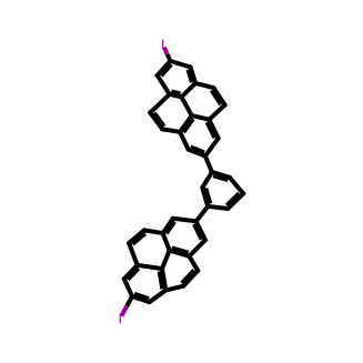 Ic1cc2ccc3cc(-c4cccc(-c5cc6ccc7cc(I)cc8ccc(c5)c6c78)c4)cc4ccc(c1)c2c34